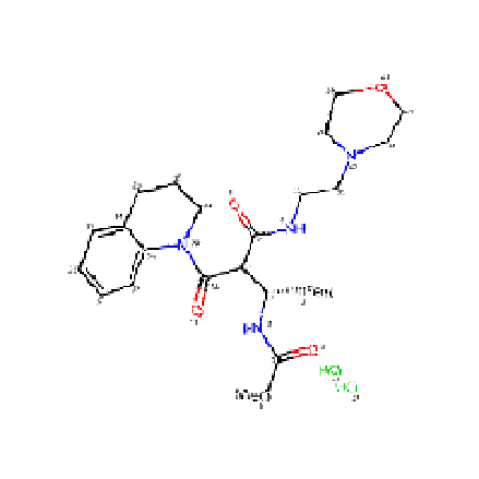 CCCCC[C@H](NC(=O)OC)C(C(=O)NCCN1CCOCC1)C(=O)N1CCCc2ccccc21.Cl.Cl